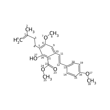 C=C(C)CCc1c(OC)cc(C=Cc2ccc(OC)cc2)c(C(=O)OC)c1O